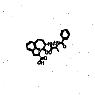 C[C@H](NC(=O)c1ccccc1)C(=O)N[C@H]1CCc2cccc3c2N(C1=O)[C@H](C(=O)O)C3